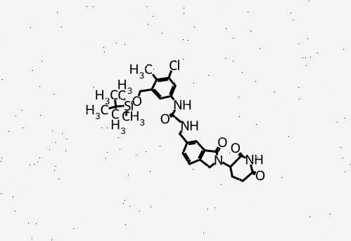 Cc1c(Cl)cc(NC(=O)NCc2ccc3c(c2)C(=O)N(C2CCC(=O)NC2=O)C3)cc1CO[Si](C)(C)C(C)(C)C